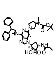 CCC(=O)N[C@H]1C[C@@H](n2cnc3c(NCC(c4ccccc4)c4ccccc4)nc(N4CC[C@@H](NC(=O)OC(C)(C)C)C4)nc32)[C@H](O)[C@@H]1O